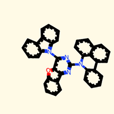 c1ccc2c(c1)-c1cccc3cccc(c13)N2c1nc(-n2c3ccccc3c3ccccc32)c2oc3ccccc3c2n1